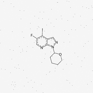 Fc1cnc2c(cnn2C2CCCCO2)c1I